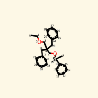 CCOCC(CO[Si](C)(C)c1ccccc1)(Cc1ccccc1)Cc1ccccc1